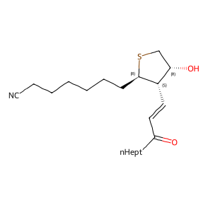 CCCCCCCC(=O)C=C[C@H]1[C@@H](O)CS[C@@H]1CCCCCCC#N